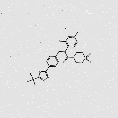 Cc1ccc(N(Cc2ccc(-c3nnc(C(F)(F)F)o3)cc2)C(=O)N2CCS(=O)(=O)CC2)c(F)c1